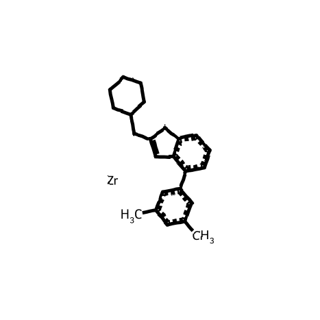 Cc1cc(C)cc(-c2cccc3c2C=C(CC2CCCCC2)[CH]3)c1.[Zr]